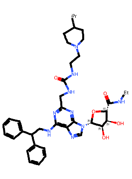 CCNC(=O)[C@H]1O[C@@H](n2cnc3c(NCC(c4ccccc4)c4ccccc4)nc(CNC(=O)NCCN4CCC(C(C)C)CC4)nc32)[C@H](O)[C@@H]1O